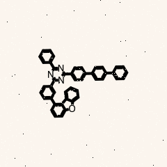 c1ccc(-c2ccc(-c3ccc(-c4nc(-c5ccccc5)nc(-c5cccc(-c6cccc7oc8ccccc8c67)c5)n4)cc3)cc2)cc1